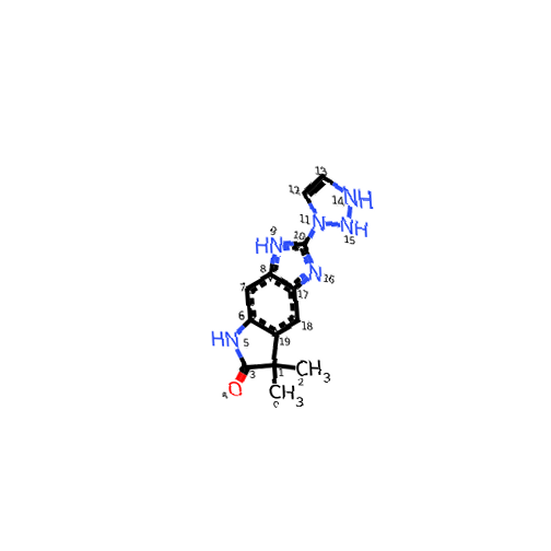 CC1(C)C(=O)Nc2cc3[nH]c(N4C=CNN4)nc3cc21